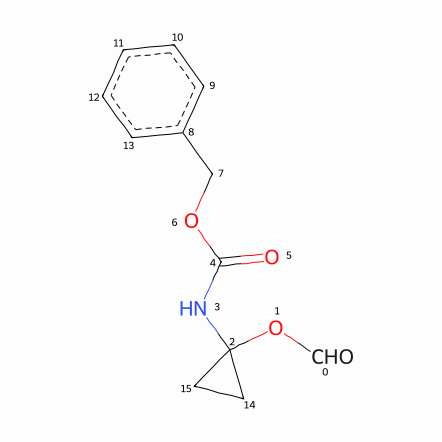 O=COC1(NC(=O)OCc2ccccc2)CC1